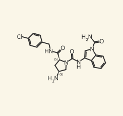 NC(=O)n1cc(NC(=O)N2C[C@@H](N)C[C@H]2C(=O)NCc2ccc(Cl)cc2)c2ccccc21